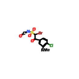 CNc1cc(C(=O)C(Br)S(=O)(=O)N=C=O)ccc1Cl